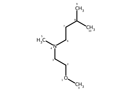 COCCN(C)CCC(C)C